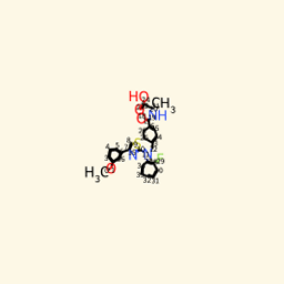 COc1cccc(-c2csc(N(CC3=CC=C(C(=O)NC(C)C(=O)O)CC3)C3=C(F)C=C=CC=C3)n2)c1